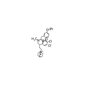 CC(C)Oc1cccc(CC(=O)N(C)CC(CC[N+]23CCC(CC2)CC3)c2ccc(Cl)c(Cl)c2)c1.[Cl-]